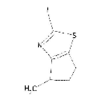 CC1CCc2sc(I)nc21